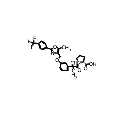 Cc1oc(-c2ccc(C(F)(F)F)cc2)nc1COc1cccc(C(C)(C)C(=O)N2CCC[C@@H]2C(=O)O)c1